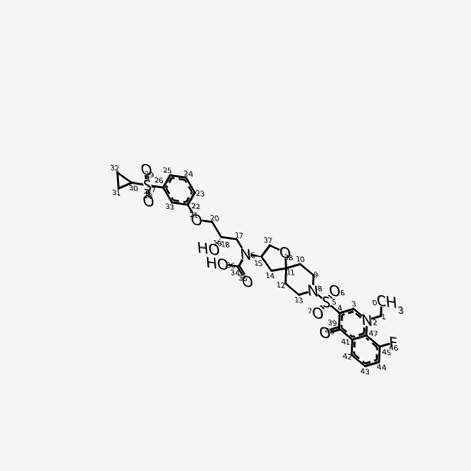 CCn1cc(S(=O)(=O)N2CCC3(CC2)C[C@@H](N(C[C@H](O)COc2cccc(S(=O)(=O)C4CC4)c2)C(=O)O)CO3)c(=O)c2cccc(F)c21